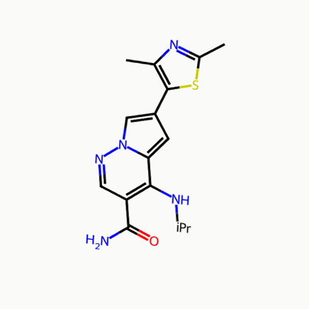 Cc1nc(C)c(-c2cc3c(NC(C)C)c(C(N)=O)cnn3c2)s1